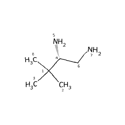 CC(C)(C)[C@H](N)CN